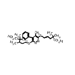 Cc1c(SCCCC(C)(C)C(=O)O)nnc(SCCC(C)C(C)(C)C(=O)O)c1-c1ccccc1